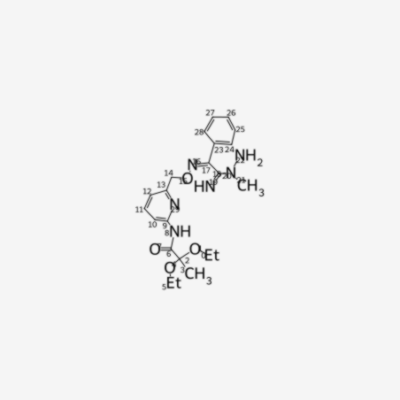 CCOC(C)(OCC)C(=O)Nc1cccc(CO/N=C(\C(=N)N(C)N)c2ccccc2)n1